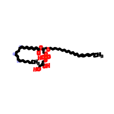 CCCCC/C=C\C/C=C\C/C=C\CCCCCCC(=O)O[C@H](COCCCCCCCCCCCCCCCCCCCC)COP(=O)(O)OC[C@@H](O)CO